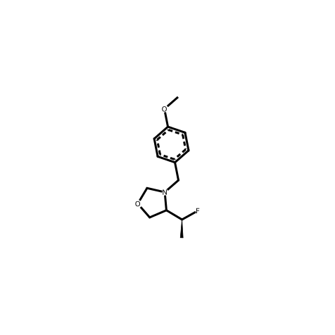 COc1ccc(CN2COCC2[C@H](C)F)cc1